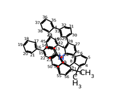 CC1(C)c2ccccc2-c2c(N(c3ccc(-c4ccccc4)cc3)c3cccc(-c4cccc(-c5ccccc5)c4)c3-c3ccccc3-c3ccccc3)cccc21